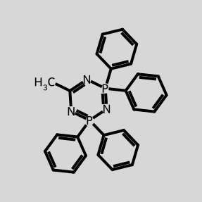 CC1=NP(c2ccccc2)(c2ccccc2)=NP(c2ccccc2)(c2ccccc2)=N1